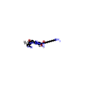 C[C@@H]1CN(c2ncc(-c3ccc4c(n3)N(Cc3cccnc3C#N)C(C)(C)C4=O)cn2)CCN1C(=O)CNC(=O)CCCCCCCCCCCN